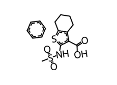 CS(=O)(=O)Nc1sc2c(c1C(=O)O)CCCC2.c1ccccc1